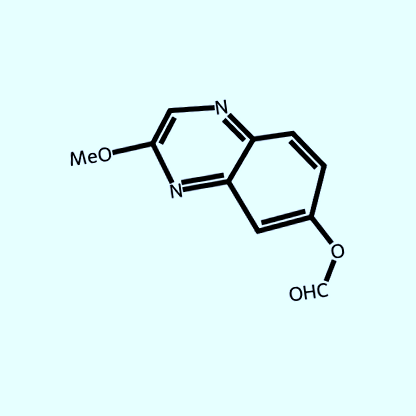 COc1cnc2ccc(OC=O)cc2n1